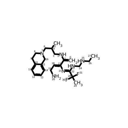 C=C(NCC(C)CN1CCc2ccccc2C1)C(=C/CN)/N=C(\NCNCC)C(C)(F)F